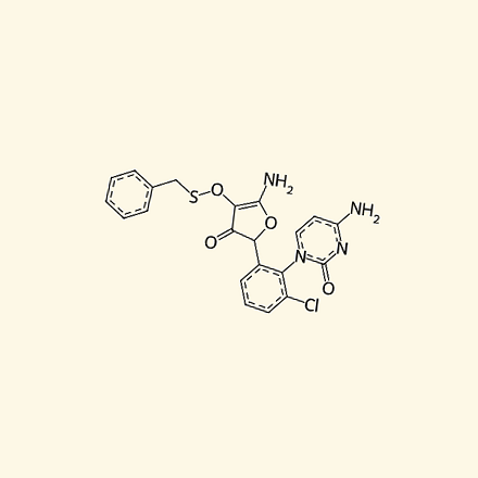 NC1=C(OSCc2ccccc2)C(=O)C(c2cccc(Cl)c2-n2ccc(N)nc2=O)O1